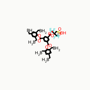 BCc1cc(CB)c(OC(=O)c2cc(C(=O)Oc3c(CB)cc(CB)cc3CB)cc(C(=O)OC(CS(=O)(=O)O)(C(F)(F)F)C(F)(F)F)c2)c(CB)c1